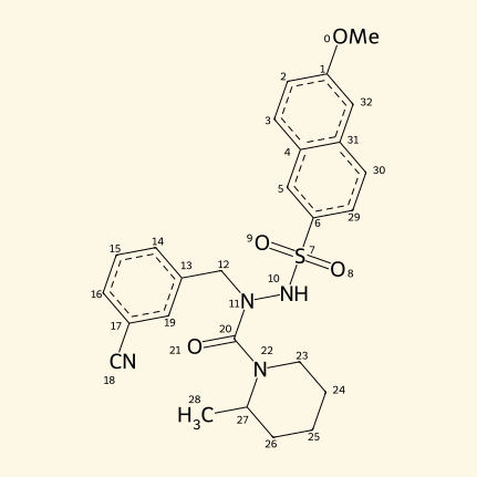 COc1ccc2cc(S(=O)(=O)NN(Cc3cccc(C#N)c3)C(=O)N3CCCCC3C)ccc2c1